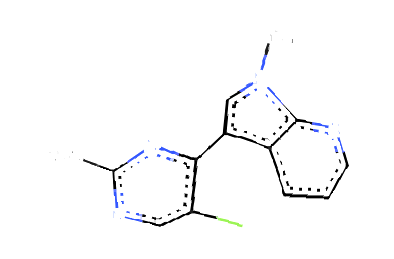 CCC(C)n1cc(-c2nc(NC)ncc2F)c2cccnc21